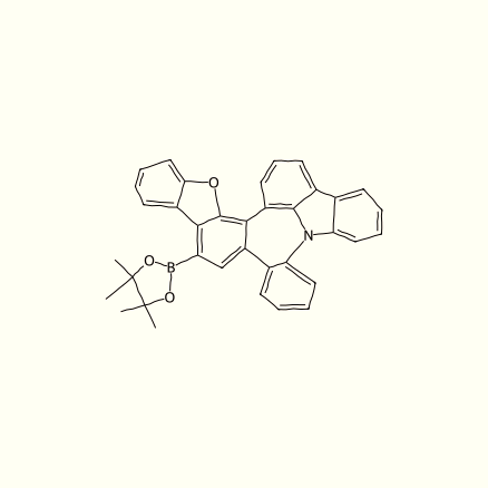 CC1(C)OB(c2cc3c(c4oc5ccccc5c24)-c2cccc4c5ccccc5n(c24)-c2ccccc2-3)OC1(C)C